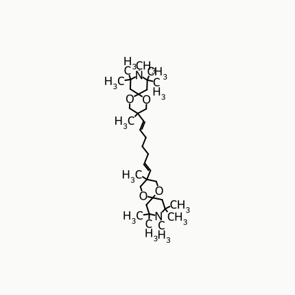 CN1C(C)(C)CC2(CC1(C)C)OCC(C)(/C=C/CCC/C=C/C1(C)COC3(CC(C)(C)N(C)C(C)(C)C3)OC1)CO2